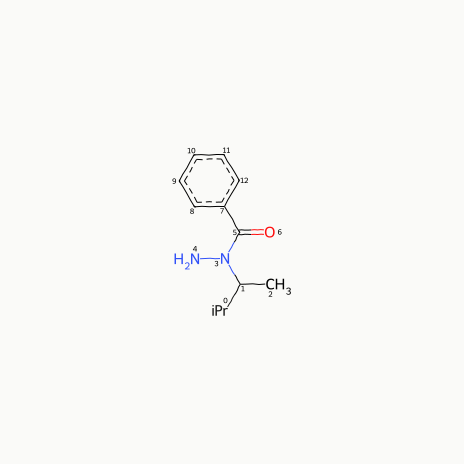 CC(C)C(C)N(N)C(=O)c1ccccc1